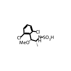 CO[C@H](c1c(Cl)cccc1Cl)[C@@H](C)NS(=O)(=O)O